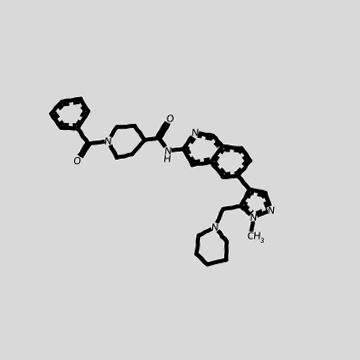 Cn1ncc(-c2ccc3cnc(NC(=O)C4CCN(C(=O)c5ccccc5)CC4)cc3c2)c1CN1CCCCC1